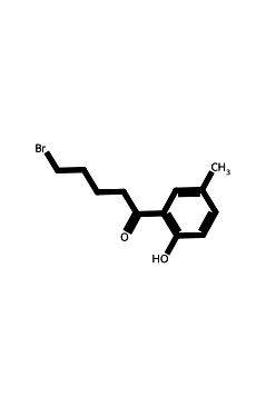 Cc1ccc(O)c(C(=O)CCCCBr)c1